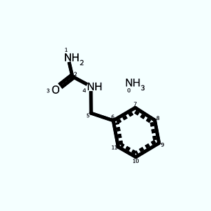 N.NC(=O)NCc1ccccc1